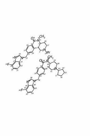 CC(C)N1CCC(N(C)C(=O)c2ccc(Cn3cnc4c(F)cccc43)cc2)CC1.CN(C(=O)c1ccc(Cn2cnc3c(F)cccc32)cc1)C1CCN(C2CCCC2)CC1